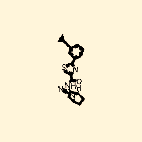 N#CN1C2CC[C@@H]1[C@H](NC(=O)c1csc(-c3cccc(C4CC4)c3)n1)C2